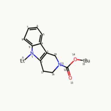 CCn1c2c(c3ccccc31)CN(C(=O)OC(C)(C)C)CC2